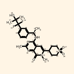 Cc1nc(N[C@H](C)c2cccc(C(F)(F)C(C)(C)O)c2)c2cc(C3CCS(=O)(=O)CC3)n(C)c(=O)c2n1